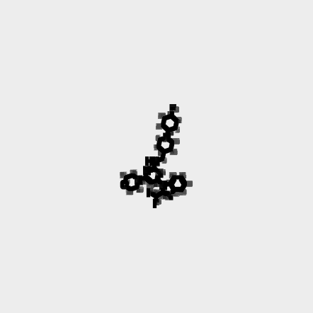 FC1CCC(N2CCC(CNc3nc(N4CCOCC4)cc(-n4c(C(F)F)nc5ccccc54)n3)CC2)CC1